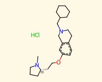 CN1CCC[C@H]1CCOc1ccc2c(c1)CN(CC1CCCCC1)CC2.Cl